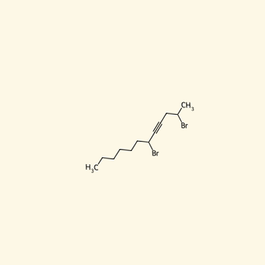 CCCCCCC(Br)C#CCC(C)Br